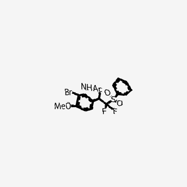 COc1ccc(C(NC(C)=O)C(F)(F)S(=O)(=O)c2ccccc2)cc1Br